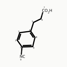 [C-]#[N+]c1ccc(CCC(=O)O)cc1